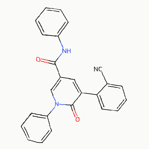 N#Cc1ccccc1-c1cc(C(=O)Nc2ccccc2)cn(-c2ccccc2)c1=O